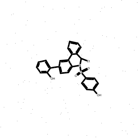 CCC1c2ccccc2-c2cc(-c3ccccc3O)ccc2N1S(=O)(=O)c1ccc(O)cc1